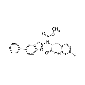 COC(=O)N(c1cc2cc(-c3ccccc3)ccc2o1)[C@H](Cc1ccc(F)cc1)C(=O)O